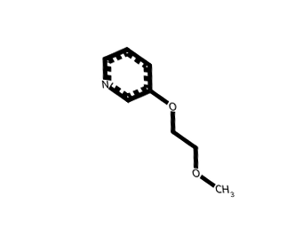 COCCOc1[c]nccc1